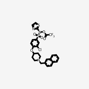 O=C(ON(c1nccs1)S(=O)(=O)c1ccc(OC2CCN(Cc3ccc4ccccc4c3)CC2)c(Cl)c1)C(F)(F)F